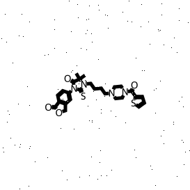 CC1(C)C(=O)N(c2ccc3c(c2)COC3=O)C(=S)N1CCCCN1CCN(C(=O)c2cccs2)CC1